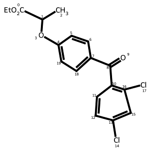 CCOC(=O)C(C)Oc1ccc(C(=O)c2ccc(Cl)cc2Cl)cc1